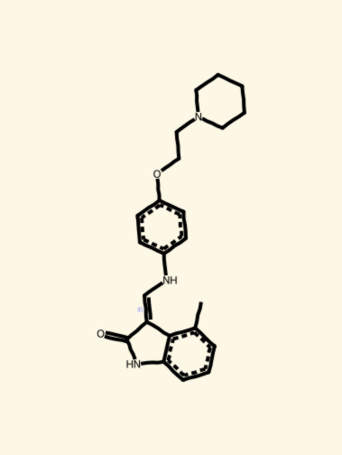 Cc1cccc2c1/C(=C\Nc1ccc(OCCN3CCCCC3)cc1)C(=O)N2